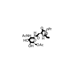 C=CC(=O)N[C@@H](CC(=O)N[C@@H]1O[C@H](COC(C)=O)[C@@H](O)[C@H](O)[C@H]1NC(C)=O)C(=O)NCCC